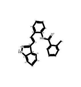 Cc1ccccc1C(=O)Nc1ccccc1C=Cc1n[nH]c2ccccc12